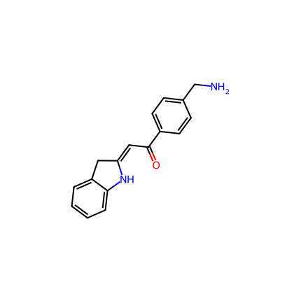 NCc1ccc(C(=O)C=C2Cc3ccccc3N2)cc1